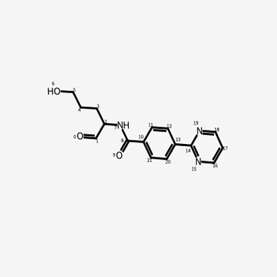 O=CC(CCCO)NC(=O)c1ccc(-c2ncccn2)cc1